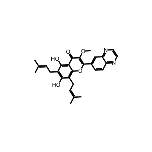 COc1c(-c2ccc3nccnc3c2)oc2c(CC=C(C)C)c(O)c(CC=C(C)C)c(O)c2c1=O